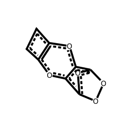 c1cc2oc3c4oc(c3oc1=2)OO4